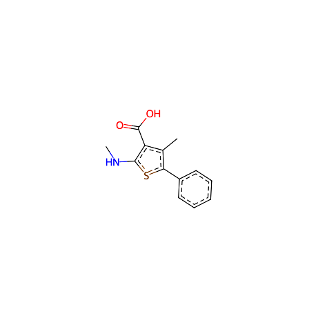 CNc1sc(-c2ccccc2)c(C)c1C(=O)O